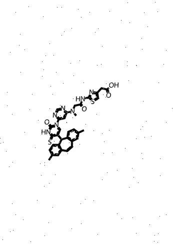 Cc1ccc2c(c1)C=Cc1cc(C)ccc1C2c1cn(-c2cc(N(C)CC(=O)Nc3nc(CC(=O)O)cs3)ncn2)c(=O)[nH]c1=S